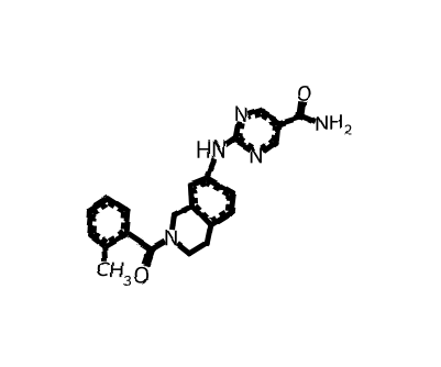 Cc1ccccc1C(=O)N1CCc2ccc(Nc3ncc(C(N)=O)cn3)cc2C1